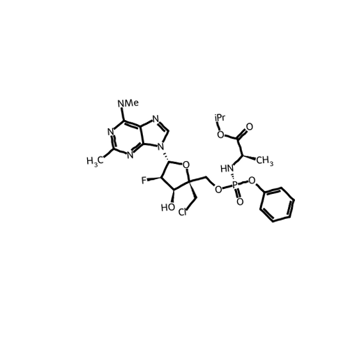 CNc1nc(C)nc2c1ncn2[C@@H]1O[C@](CCl)(CO[P@@](=O)(N[C@H](C)C(=O)OC(C)C)Oc2ccccc2)[C@@H](O)[C@H]1F